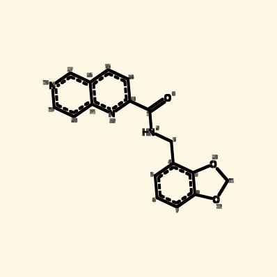 O=C(NCc1cccc2c1OCO2)c1ccc2cnccc2n1